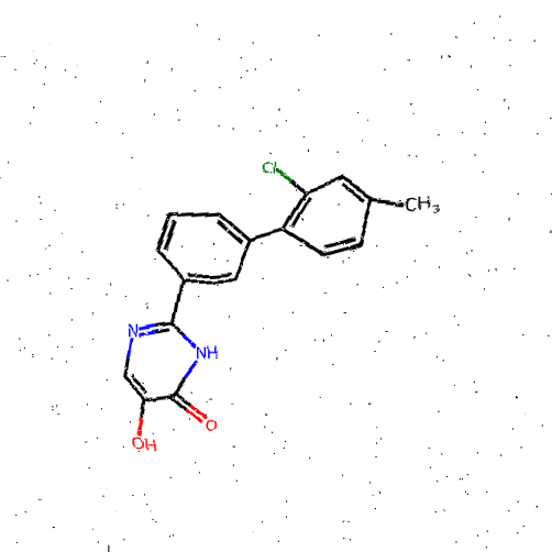 Cc1ccc(-c2cccc(-c3ncc(O)c(=O)[nH]3)c2)c(Cl)c1